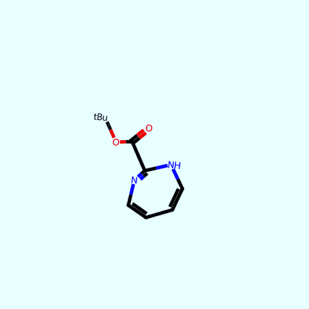 CC(C)(C)OC(=O)C1=NC=CC=CN1